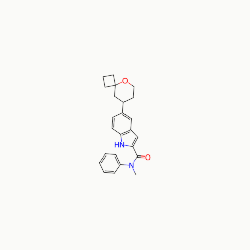 CN(C(=O)c1cc2cc(C3CCOC4(CCC4)C3)ccc2[nH]1)c1ccccc1